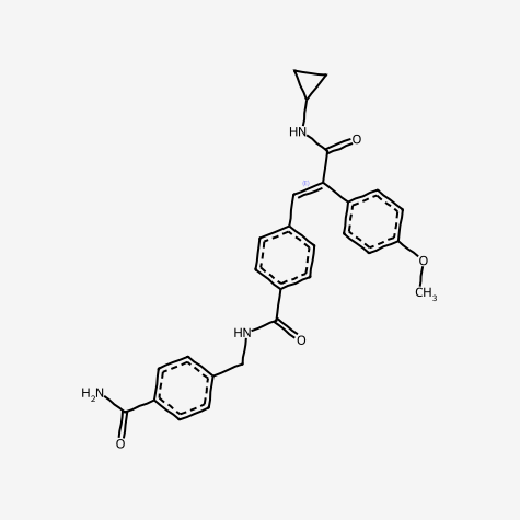 COc1ccc(/C(=C\c2ccc(C(=O)NCc3ccc(C(N)=O)cc3)cc2)C(=O)NC2CC2)cc1